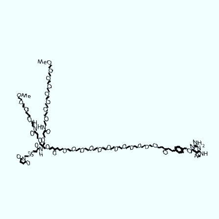 COCCOCCOCCOCCNC(=O)CCOCC(COCCC(=O)CCCOCCOCCOCCOCCOCCOCCOCCOCCOCCOCCOCCOCCC(=O)CCc1ccc(COc2nc(N)nc3[nH]cnc23)cc1)(COCCC(=O)NCCOCCOCCOCCOCCOCCOCCOCCOC)NC(=O)CCSSCCN1C(=O)C=CC1=O